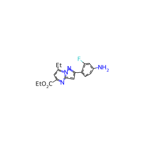 CCOC(=O)c1cc(CC)n2nc(-c3ccc(N)cc3F)cc2n1